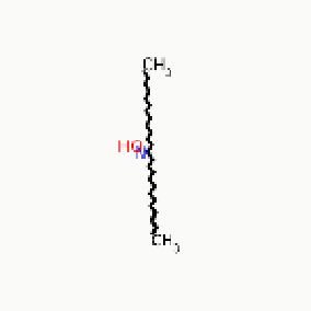 CCCCCCCCCCCCCC(CCCCCCCCCCCCC)=NO